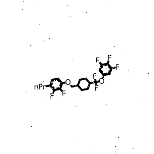 CCCc1ccc(OCC2CCC(C(F)(F)Oc3cc(F)c(F)c(F)c3)CC2)c(F)c1F